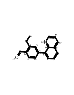 CCc1cc(-c2cccc3cccnc23)ccc1C=O